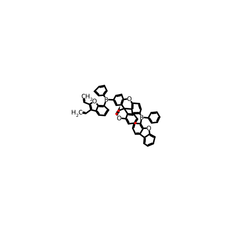 C=Cc1oc2c(B(c3ccccc3)c3ccc4c(c3)C3(c5ccccc5Oc5ccccc53)c3cc(B(c5ccccc5)c5cccc6c5oc5ccccc56)ccc3O4)cccc2c1C=C